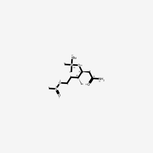 C[C@H](CCOS(C)=O)[C@H](CC(N)=O)O[Si](C)(C)C(C)(C)C